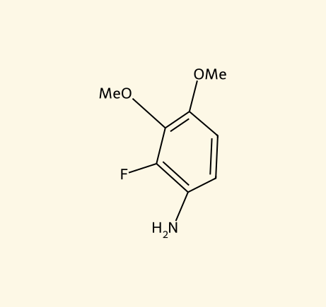 COc1ccc(N)c(F)c1OC